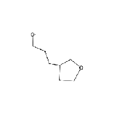 [O]CCCC1CCOC1